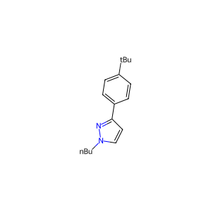 CCCCn1ccc(-c2ccc(C(C)(C)C)cc2)n1